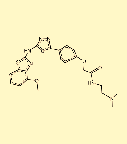 COc1cccc2sc(Nc3nnc(-c4ccc(OCC(=O)NCCN(C)C)cc4)o3)nc12